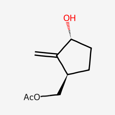 C=C1[C@H](COC(C)=O)CC[C@H]1O